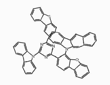 c1ccc2cc3c(cc2c1)c1ccccc1n3-c1c(-c2nc(-c3ccc4sc5ccccc5c4c3)nc(-n3c4ccccc4c4ccccc43)n2)ccc2c1oc1ccccc12